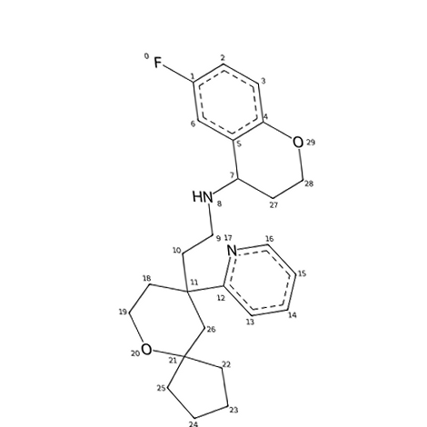 Fc1ccc2c(c1)C(NCCC1(c3ccccn3)CCOC3(CCCC3)C1)CCO2